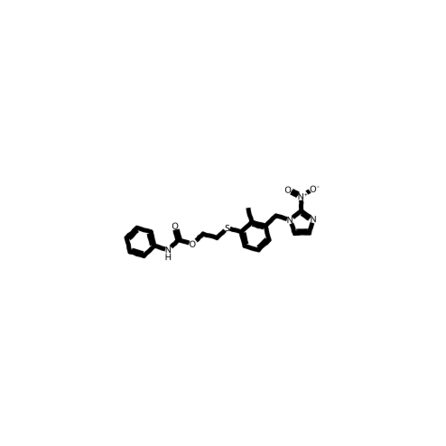 Cc1c(Cn2ccnc2[N+](=O)[O-])cccc1SCCOC(=O)Nc1ccccc1